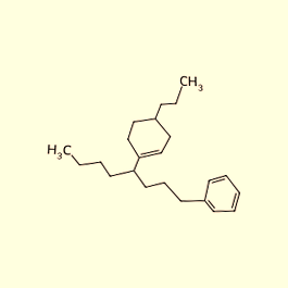 CCCCC(CCCc1ccccc1)C1=CCC(CCC)CC1